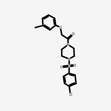 Cc1cccc(OCC(=O)N2CCN(S(=O)(=O)c3ccc(Cl)cc3)CC2)c1